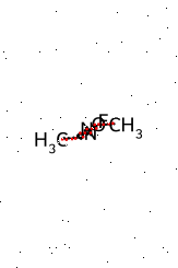 CCCCCCCc1ccc(-c2cnc(-c3ccc(OCC(F)CCCCC)cc3)nc2)cc1